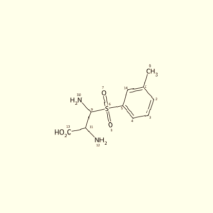 Cc1cccc(S(=O)(=O)C(N)C(N)C(=O)O)c1